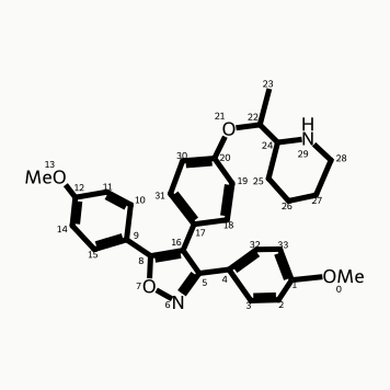 COc1ccc(-c2noc(-c3ccc(OC)cc3)c2-c2ccc(OC(C)C3CCCCN3)cc2)cc1